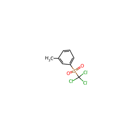 Cc1cccc(S(=O)(=O)C(Cl)(Cl)Cl)c1